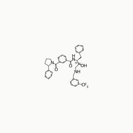 O=C(N[C@@H](Cc1ccccc1)[C@@H](O)CNCc1cccc(C(F)(F)F)c1)c1cccc(C(=O)N2CCCC2c2ccccc2)c1